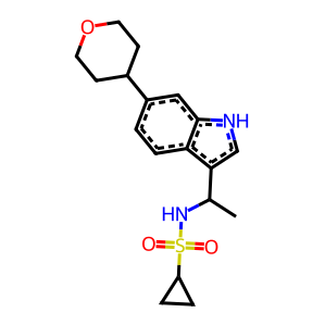 CC(NS(=O)(=O)C1CC1)c1c[nH]c2cc(C3CCOCC3)ccc12